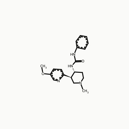 COc1ccc([C@@H]2CN(C)CC[C@H]2NC(=O)Nc2ccccc2)nc1